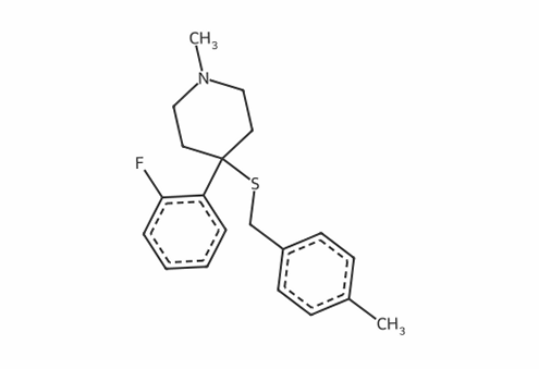 Cc1ccc(CSC2(c3ccccc3F)CCN(C)CC2)cc1